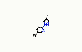 CCc1ccc(-n2cc(C)cn2)nc1